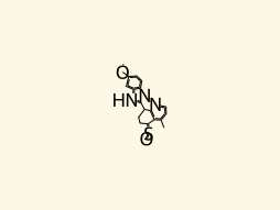 COc1ccc2nc(C3CCC(=S=O)c4c(C)ccnc43)[nH]c2c1